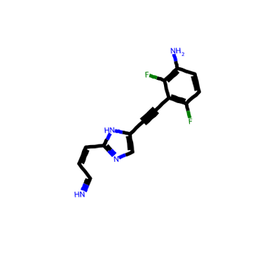 N=C/C=C\c1ncc(C#Cc2c(F)ccc(N)c2F)[nH]1